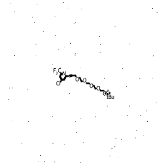 CC(C)(C)[Si](C)(C)OCCOCCOCCOCCOCC#Cc1cc(Cl)cc(C(F)(F)F)n1